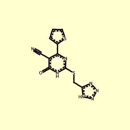 N#Cc1c(-c2cccs2)nc(SCc2nnn[nH]2)[nH]c1=O